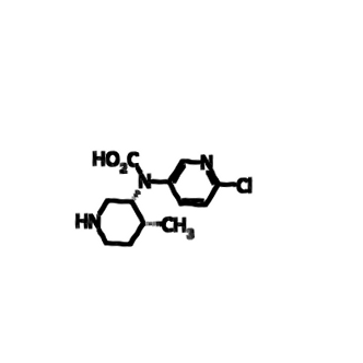 C[C@@H]1CCNC[C@@H]1N(C(=O)O)c1ccc(Cl)nc1